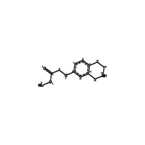 CC(C)(C)OC(=O)COc1ccc2c(c1)CNCC2